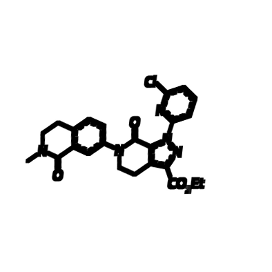 CCOC(=O)c1nn(-c2cccc(Cl)n2)c2c1CCN(c1ccc3c(c1)C(=O)N(C)CC3)C2=O